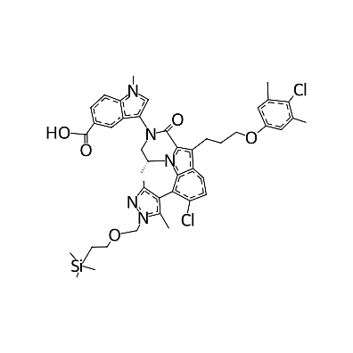 Cc1cc(OCCCc2c3n(c4c(-c5c(C)nn(COCC[Si](C)(C)C)c5C)c(Cl)ccc24)[C@H](C)CN(c2cn(C)c4ccc(C(=O)O)cc24)C3=O)cc(C)c1Cl